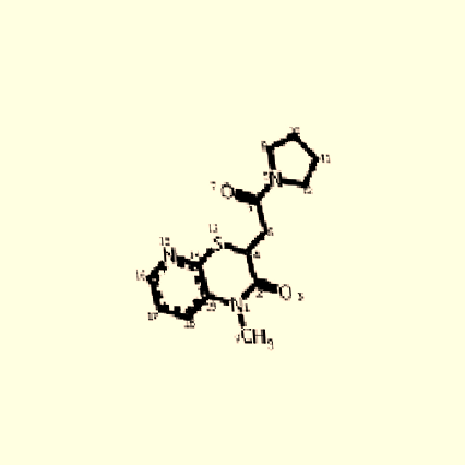 CN1C(=O)C(CC(=O)N2CCCC2)Sc2ncccc21